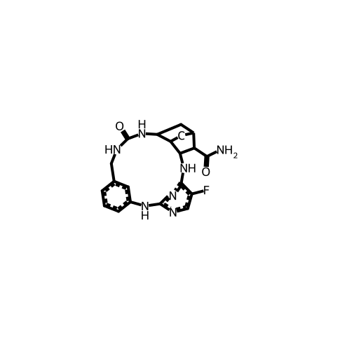 NC(=O)C1C2CC3NC(=O)NCc4cccc(c4)Nc4ncc(F)c(n4)NC1C3C2